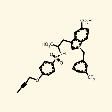 CC#CCOc1ccc(S(=O)(=O)NC(Cc2cn(Cc3cccc(C(F)(F)F)c3)c3ccc(C(=O)O)cc23)C(=O)O)cc1